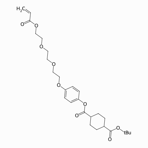 C=CC(=O)OCCOCCOCCOc1ccc(OC(=O)C2CCC(C(=O)OC(C)(C)C)CC2)cc1